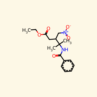 CCOC(=O)CC(C[N+](=O)[O-])C(C)(C)NC(=O)c1ccccc1